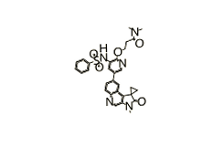 CN(C)C(=O)CCOc1ncc(-c2ccc3ncc4c(c3c2)C2(CC2)C(=O)N4C)cc1NS(=O)(=O)c1ccccc1